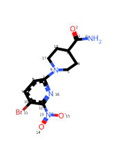 NC(=O)C1CCN(c2ccc(Br)c([N+](=O)[O-])n2)CC1